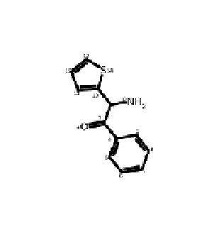 NC(C(=O)c1ccccc1)c1cc[c]s1